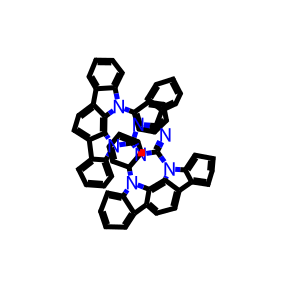 C1=CCC(n2c3ccccc3c3ccc4c5ccccc5n(-c5nc(-c6ccccc6)nc(-n6c7ccccc7c7ccc8c9ccccc9n(-c9ccccc9)c8c76)n5)c4c32)C=C1